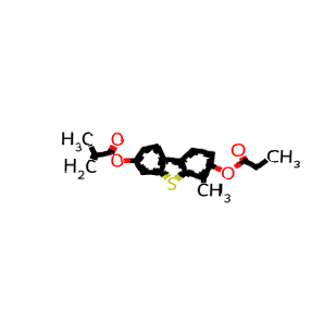 C=C(C)C(=O)Oc1ccc2c(c1)sc1c(C)c(OC(=O)CC)ccc12